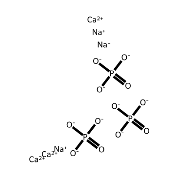 O=P([O-])([O-])[O-].O=P([O-])([O-])[O-].O=P([O-])([O-])[O-].[Ca+2].[Ca+2].[Ca+2].[Na+].[Na+].[Na+]